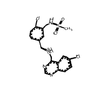 CS(=O)(=O)Nc1cc(CNc2ncnc3ccc(Cl)cc23)ccc1Cl